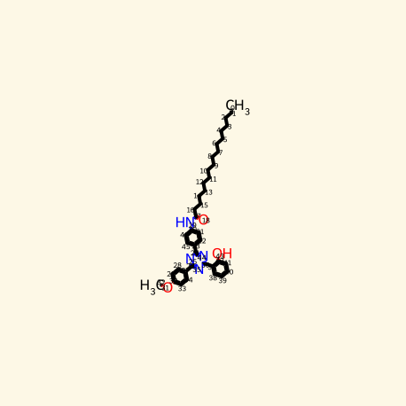 CCCCCCCCCCCCCCCCCC(=O)Nc1ccc(-c2nc(-c3ccc(OC)cc3)nc(-c3ccccc3O)n2)cc1